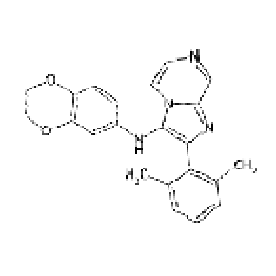 Cc1cccc(C)c1-c1nc2cnccn2c1Nc1ccc2c(c1)OCCO2